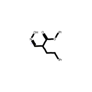 CC(C)CCC(/C=N\O)C(=O)OC(C)C